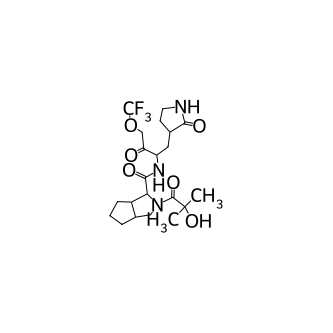 CC(C)(O)C(=O)N1CC2CCCC2C1C(=O)NC(CC1CCNC1=O)C(=O)COC(F)(F)F